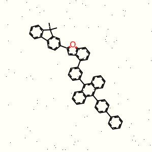 CC1(C)c2ccccc2-c2ccc(-c3cc4c(-c5cccc(-c6c7ccccc7c(-c7ccc(-c8ccccc8)cc7)c7ccccc67)c5)cccc4o3)cc21